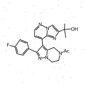 CC(=O)N1CCn2nc(-c3ccc(F)cc3)c(-c3ccnn4cc(C(C)(C)O)nc34)c2C1